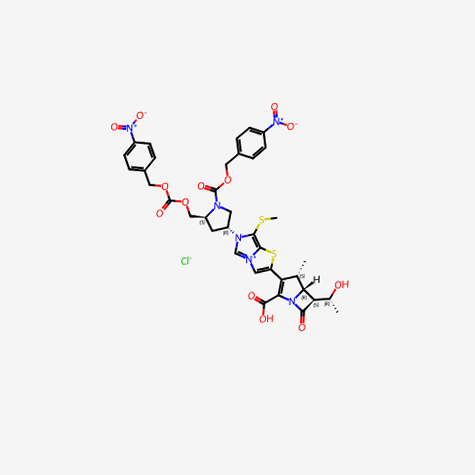 CSc1c2sc(C3=C(C(=O)O)N4C(=O)[C@H]([C@@H](C)O)[C@H]4[C@H]3C)c[n+]2cn1[C@@H]1C[C@@H](COC(=O)OCc2ccc([N+](=O)[O-])cc2)N(C(=O)OCc2ccc([N+](=O)[O-])cc2)C1.[Cl-]